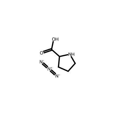 O=C(O)C1CCCN1.[N-]=[N+]=[N-]